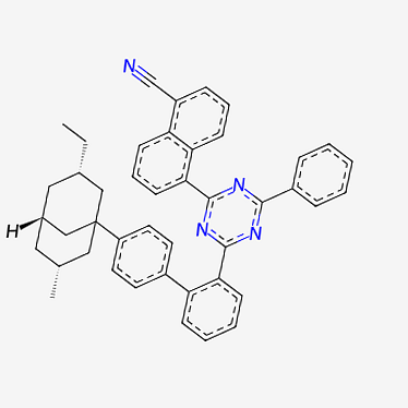 CC[C@H]1C[C@H]2C[C@@H](C)CC(c3ccc(-c4ccccc4-c4nc(-c5ccccc5)nc(-c5cccc6c(C#N)cccc56)n4)cc3)(C2)C1